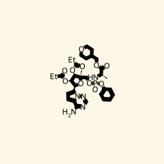 CCC(=O)O[C@H]1[C@H](c2ccc3c(N)ncnn23)O[C@](C)(COP(=O)(N[C@@H](C)C(=O)OCC2CCOCC2)Oc2ccccc2)[C@H]1OC(=O)CC